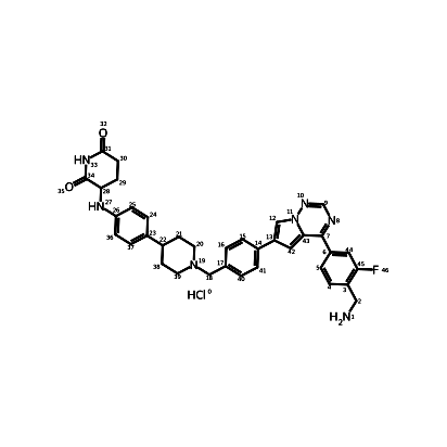 Cl.NCc1ccc(-c2ncnn3cc(-c4ccc(CN5CCC(c6ccc(NC7CCC(=O)NC7=O)cc6)CC5)cc4)cc23)cc1F